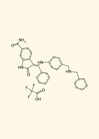 NC(=O)c1ccc2c(c1)NC(=O)C2=C(Nc1ccc(CNCc2ccccc2)cc1)c1ccccc1.O=C(O)C(F)(F)F